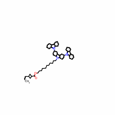 C/C=C\C1CC(C(=O)OCCCCCCCCCCCn2c3ccc(-n4c5ccccc5c5ccccc54)cc3c3cc(-n4c5ccccc5c5ccccc54)ccc32)C1